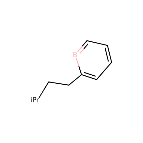 CC(C)CCc1bcccc1